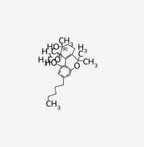 CCCCCc1cc(O)c2c(c1)OC(C)(C)C1=C2[C@](C)(OC)[C@](C)(O)CC1